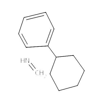 C=N.c1ccc(C2CCCCC2)cc1